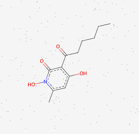 CCCCCC(=O)c1c(O)cc(C)n(O)c1=O